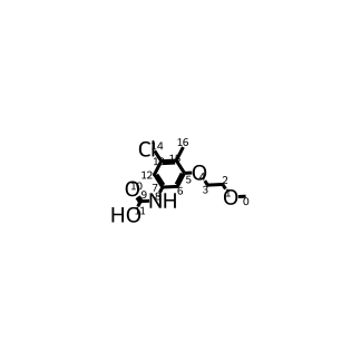 COCCOc1cc(NC(=O)O)cc(Cl)c1C